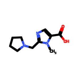 Cn1c(C(=O)O)cnc1CN1CCCC1